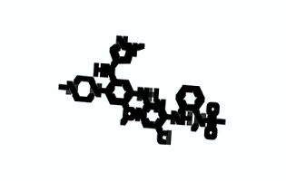 COc1cc(N2CCN(C)CC2)c(Nc2cnn(C)c2)cc1Nc1ncc(Cl)c(Nc2ccccc2N(C)S(C)(=O)=O)n1